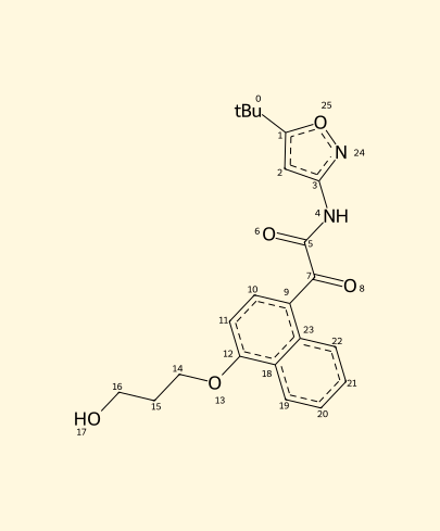 CC(C)(C)c1cc(NC(=O)C(=O)c2ccc(OCCCO)c3ccccc23)no1